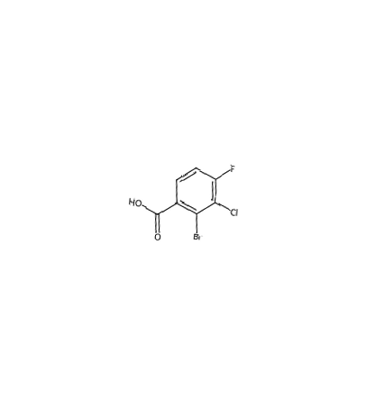 O=C(O)c1ccc(F)c(Cl)c1Br